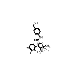 Cc1c([C@H]2[C@H](C(=O)Nc3ccc(CO)nc3)OC(C)(C)[C@H]2C)ccc(F)c1F